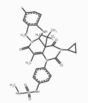 CNS(=O)(=O)Nc1ccc(N2C(=O)N(C3CC3)C(=O)C3(C(C)(C)C)C2=C(C)C(=O)N(C)C3Nc2ccc(I)cc2F)cc1